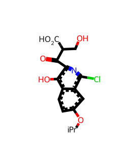 CC(C)Oc1ccc2c(O)c(C(=O)C(CO)C(=O)O)nc(Cl)c2c1